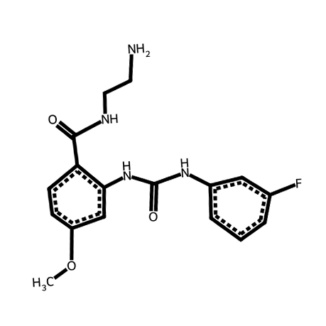 COc1ccc(C(=O)NCCN)c(NC(=O)Nc2cccc(F)c2)c1